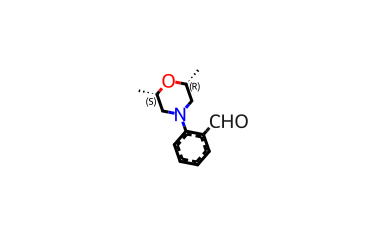 C[C@@H]1CN(c2ccccc2C=O)C[C@H](C)O1